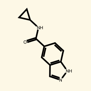 O=C(NC1CC1)c1ccc2[nH]ncc2c1